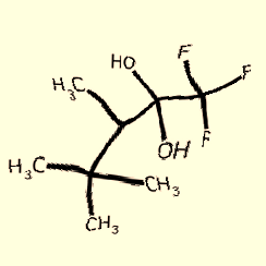 CC(C(C)(C)C)C(O)(O)C(F)(F)F